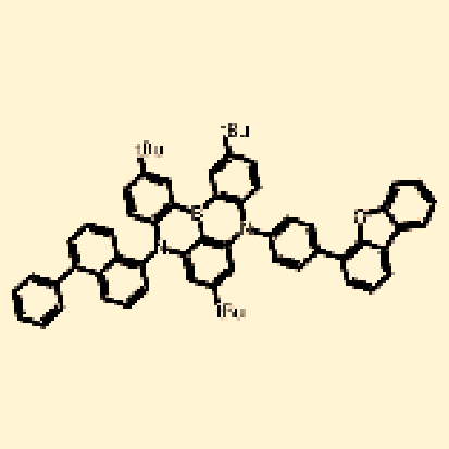 CC(C)(C)c1ccc2c(c1)B1c3cc(C(C)(C)C)ccc3N(c3cccc4c(-c5ccccc5)cccc34)c3cc(C(C)(C)C)cc(c31)N2c1ccc(-c2cccc3c2oc2ccccc23)cc1